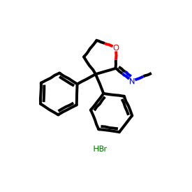 Br.CN=C1OCCC1(c1ccccc1)c1ccccc1